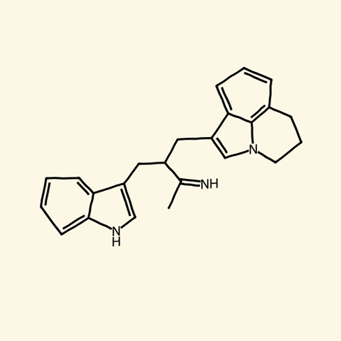 CC(=N)C(Cc1c[nH]c2ccccc12)Cc1cn2c3c(cccc13)CCC2